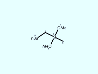 CCCCC[Si](C)(OC)OC